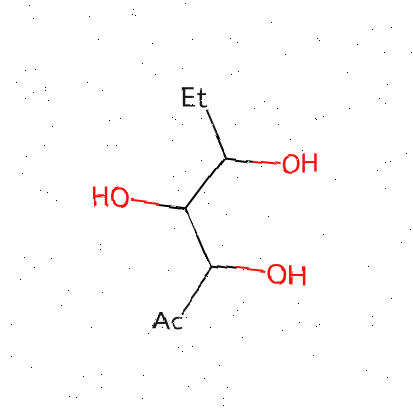 CCC(O)C(O)C(O)C(C)=O